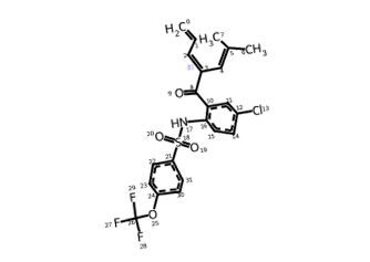 C=C/C=C(\C=C(C)C)C(=O)c1cc(Cl)ccc1NS(=O)(=O)c1ccc(OC(F)(F)F)cc1